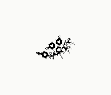 CC(C)[C@@H](CS(=O)(=O)C(C)C)N1C(=O)[C@@](C)(CC(=O)NS(=N)(=O)c2ccc(C#N)cc2)C[C@H](c2cccc(Cl)c2)[C@H]1c1ccc(Cl)cc1